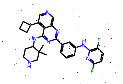 CC1(C)CNCCC1Nc1nc(-c2cccc(Nc3nc(F)ccc3F)c2)nc2cncc(C3CCC3)c12